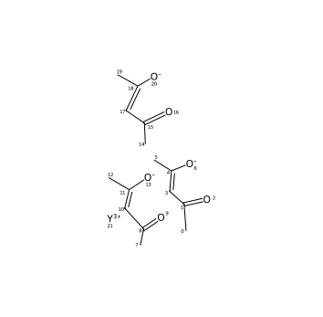 CC(=O)/C=C(/C)[O-].CC(=O)/C=C(/C)[O-].CC(=O)/C=C(/C)[O-].[Y+3]